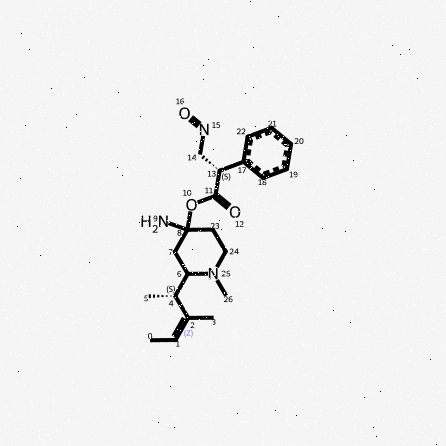 C/C=C(/C)[C@H](C)C1CC(N)(OC(=O)[C@H](CN=O)c2ccccc2)CCN1C